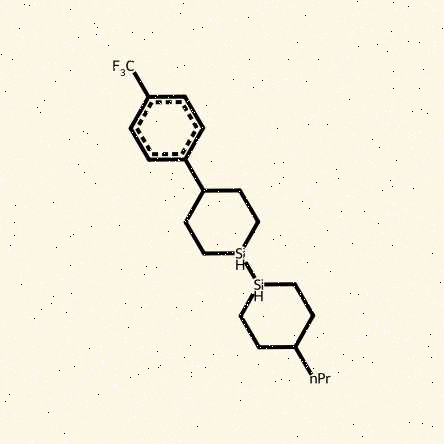 CCCC1CC[SiH]([SiH]2CCC(c3ccc(C(F)(F)F)cc3)CC2)CC1